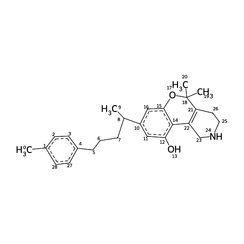 Cc1ccc(CCCC(C)c2cc(O)c3c(c2)OC(C)(C)C2=C3CNCC2)cc1